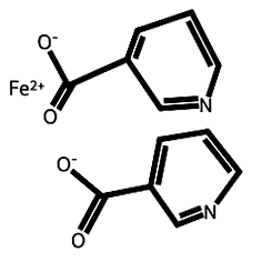 O=C([O-])c1cccnc1.O=C([O-])c1cccnc1.[Fe+2]